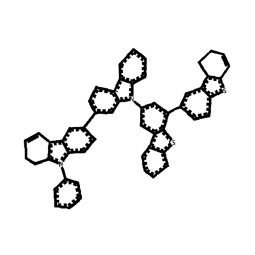 C1=Cc2sc3ccc(-c4cc(-n5c6ccccc6c6ccc(-c7ccc8c(c7)c7c(n8-c8ccccc8)CCC=C7)cc65)cc5c4sc4ccccc45)cc3c2CC1